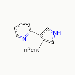 CCCCCc1c[nH]cc1-c1ccccn1